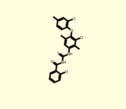 Cc1ccc(Oc2c(C)cc(NC(=S)NC(=O)c3ccccc3Cl)c(C)c2Cl)c(Cl)c1